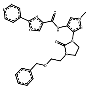 Cn1cc(NC(=O)c2coc(-c3c[c]ncc3)n2)c(N2CCN(CCOCc3ccccc3)C2=O)n1